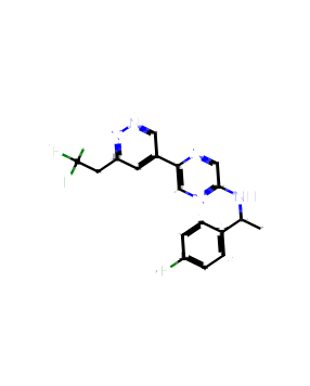 CC(Nc1cnc(-c2cnnc(CC(F)(F)F)c2)cn1)c1ccc(F)cc1